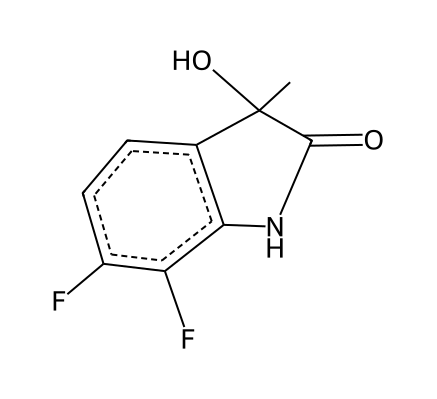 CC1(O)C(=O)Nc2c1ccc(F)c2F